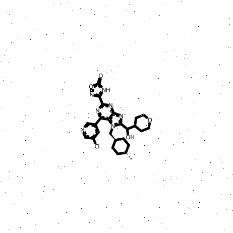 C[C@H]1CC[C@H](Cn2c(C(O)C3CCOCC3)nc3nc(-c4noc(=O)[nH]4)nc(-c4cncc(Cl)c4)c32)CC1